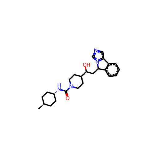 C[C@H]1CC[C@H](NC(=O)N2CCC(C(O)CC3c4ccccc4-c4cncn43)CC2)CC1